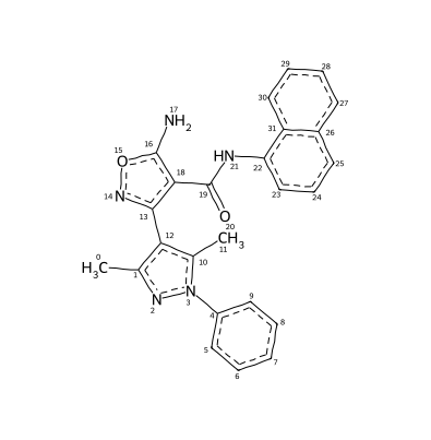 Cc1nn(-c2ccccc2)c(C)c1-c1noc(N)c1C(=O)Nc1cccc2ccccc12